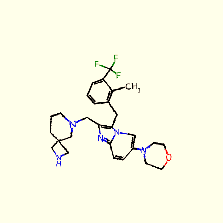 Cc1c(Cc2c(CN3CCCC4(CNC4)C3)nc3ccc(N4CCOCC4)cn23)cccc1C(F)(F)F